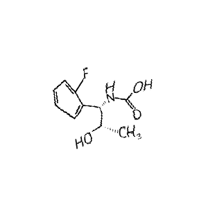 C[C@H](O)[C@@H](NC(=O)O)c1ccccc1F